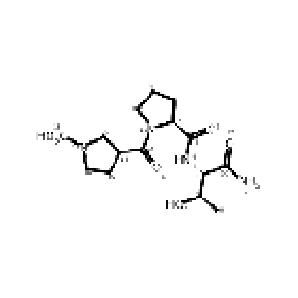 C[C@@H](O)[C@H](NC(=O)[C@@H]1CCCN1C(=O)[C@H]1CCN(C(=O)O)C1)C(N)=O